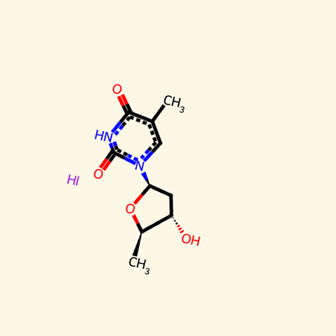 Cc1cn([C@H]2C[C@H](O)[C@@H](C)O2)c(=O)[nH]c1=O.I